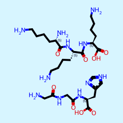 NCC(=O)NCC(=O)N[C@@H](Cc1c[nH]cn1)C(=O)O.NCCCC[C@H](NC(=O)[C@H](CCCCN)NC(=O)[C@@H](N)CCCCN)C(=O)O